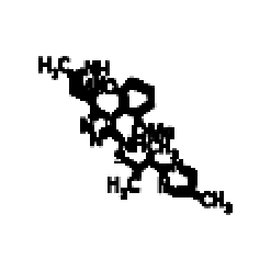 COc1cccc(OC)c1-n1c(NSC(C)C(C)c2ncc(C)cn2)nnc1-c1cc(C)[nH]n1